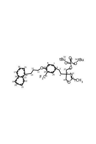 CC1=NC(CCc2ccc(OCCCc3cccc4ccccc34)c(C(F)(F)F)c2)(COP(=O)(OC(C)(C)C)OC(C)(C)C)CO1